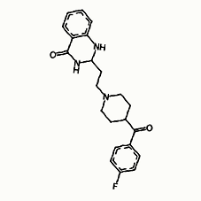 O=C1NC(CCN2CCC(C(=O)c3ccc(F)cc3)CC2)Nc2ccccc21